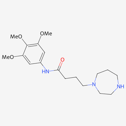 COc1cc(NC(=O)CCCN2CCCNCC2)cc(OC)c1OC